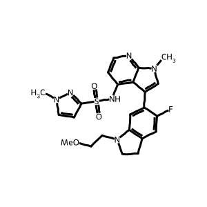 COCCN1CCc2cc(F)c(-c3cn(C)c4nccc(NS(=O)(=O)c5ccn(C)n5)c34)cc21